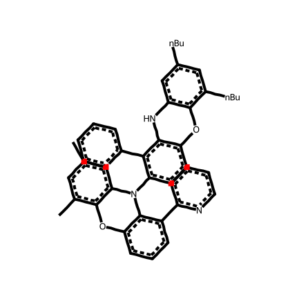 CCCCc1cc(CCCC)c2c(c1)Nc1c(ccc(N3c4cc(C)cc(C)c4Oc4cccc(-c5ccccn5)c43)c1-c1ccccn1)O2